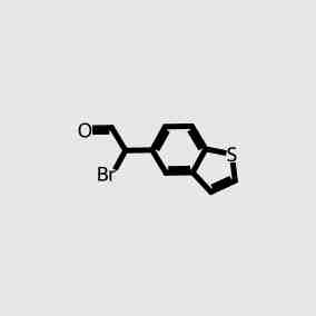 O=CC(Br)c1ccc2sccc2c1